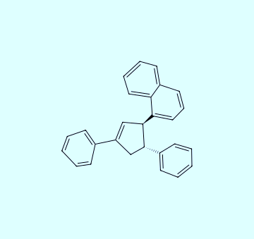 C1=C(c2ccccc2)C[C@@H](c2ccccc2)[C@@H]1c1cccc2ccccc12